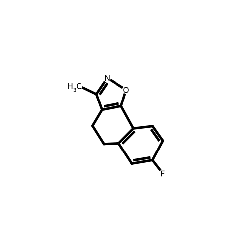 Cc1noc2c1CCc1cc(F)ccc1-2